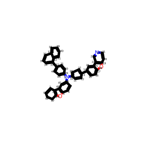 C1=Cc2c(oc3ccc(N(c4ccc(-c5ccc6oc7ccncc7c6c5)cc4)c4ccc(-c5cccc6ccccc56)cc4)cc23)CC1